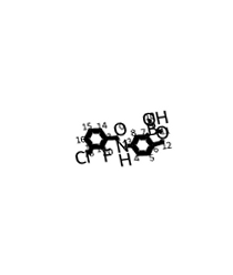 O=C(Nc1ccc2c(c1)B(O)OC2)c1cccc(Cl)c1F